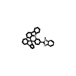 CN1C(c2ccc3c(c2)-n2c4ccccc4c4cccc(c42)C32c3ccccc3-c3ccccc32)=NC2C=CC=CC21